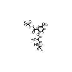 COC(=O)CCC(=O)c1cc(OC)ccc1OCC(O)CNC(C)(C)C